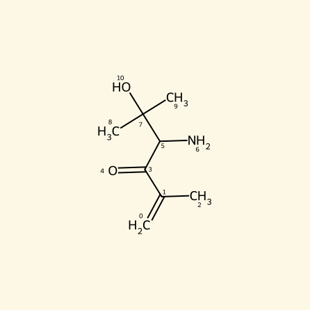 C=C(C)C(=O)C(N)C(C)(C)O